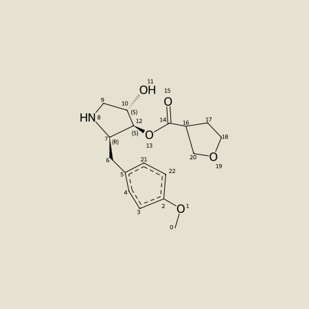 COc1ccc(C[C@H]2NC[C@H](O)[C@H]2OC(=O)C2CCOC2)cc1